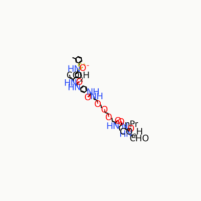 CCCN(CC(=O)NCC=O)C(=O)C(CC(=O)O)NC(=O)CCOCCOCCOCCNC(=O)Nc1ccc(NC(=O)NC(CC(=O)O)c2cccc(N[S+]([O-])c3cccc(C)c3)c2)cc1